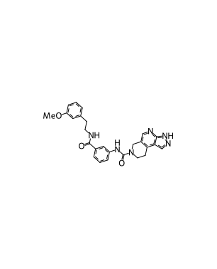 COc1cccc(CCNC(=O)c2cccc(NC(=O)N3CCc4c(cnc5[nH]ncc45)C3)c2)c1